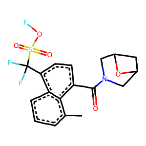 Cc1cccc2c(C(F)(F)S(=O)(=O)OF)ccc(C(=O)N3CC4CC(C3)O4)c12